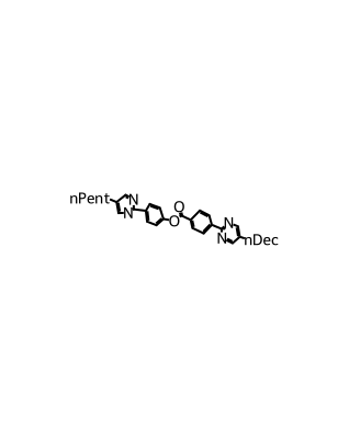 CCCCCCCCCCc1cnc(-c2ccc(C(=O)Oc3ccc(-c4ncc(CCCCC)cn4)cc3)cc2)nc1